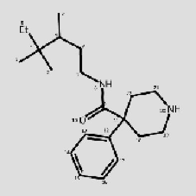 CCC(C)(C)C(C)CCNC(=O)C1(c2ccccc2)CCNCC1